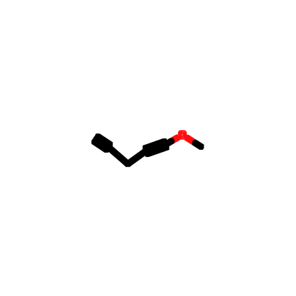 C#CCC#COC